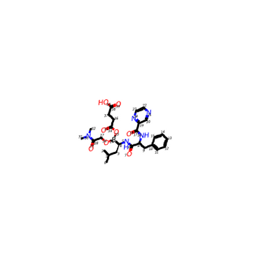 CC(C)C[C@H](NC(=O)C(Cc1ccccc1)NC(=O)c1cnccn1)B(OCC(=O)N(C)C)OC(=O)CCC(=O)O